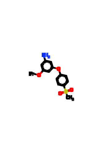 CC(C)Oc1cc(N)cc(Oc2ccc(S(C)(=O)=O)cc2)c1